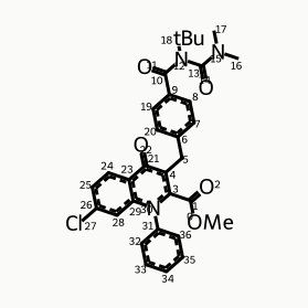 COC(=O)c1c(Cc2ccc(C(=O)N(C(=O)N(C)C)C(C)(C)C)cc2)c(=O)c2ccc(Cl)cc2n1-c1ccccc1